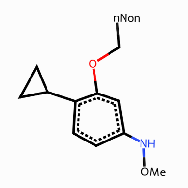 CCCCCCCCCCOc1cc(NOC)ccc1C1CC1